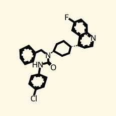 O=C(Nc1ccc(Cl)cc1)N(Cc1ccccc1)[C@H]1CC[C@@H](c2ccnc3ccc(F)cc32)CC1